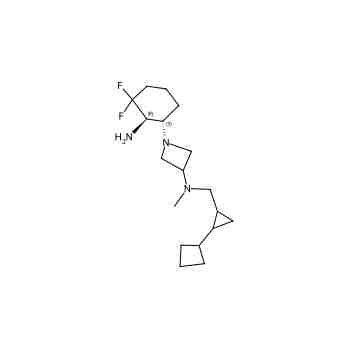 CN(CC1CC1C1CCC1)C1CN([C@H]2CCCC(F)(F)[C@@H]2N)C1